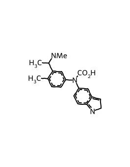 CNC(C)c1cc(N(C(=O)O)c2ccc3c(c2)=CCN=3)ccc1C